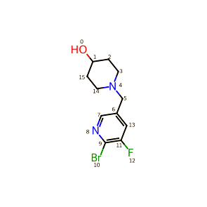 OC1CCN(Cc2cnc(Br)c(F)c2)CC1